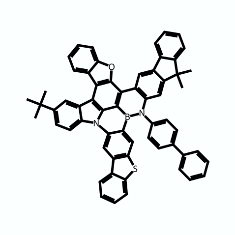 CC(C)(C)c1ccc2c(c1)c1c3c(oc4ccccc43)c3c4c1n2-c1cc2c(cc1B4N(c1ccc(-c4ccccc4)cc1)c1cc4c(cc1-3)-c1ccccc1C4(C)C)sc1ccccc12